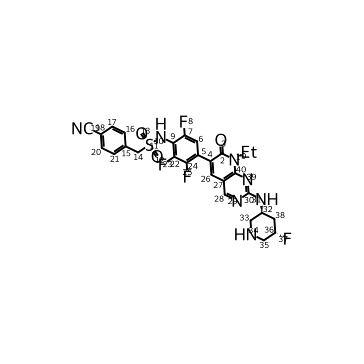 CCn1c(=O)c(-c2cc(F)c(NS(=O)(=O)Cc3ccc(C#N)cc3)c(F)c2F)cc2cnc(N[C@@H]3CNC[C@@H](F)C3)nc21